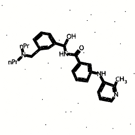 CCCN(CCC)Cc1cccc(C(O)NC(=O)c2cccc(Nc3cccnc3C)c2)c1